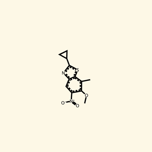 COc1c([N+](=O)[O-])cc2nc(C3CC3)sc2c1C